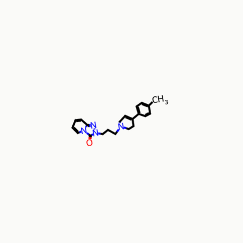 Cc1ccc(C2=CCN(CCCn3nc4ccccn4c3=O)CC2)cc1